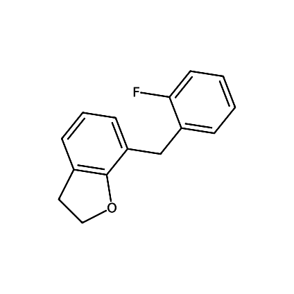 Fc1ccccc1Cc1cccc2c1OCC2